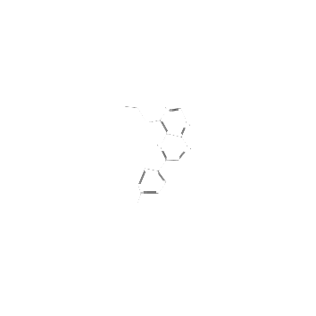 CCOc1ncnc2ncc(-c3ccc(F)cc3)nc12